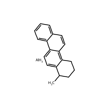 CC1CCCc2c1ccc1c2ccc2ccccc21.[AlH3]